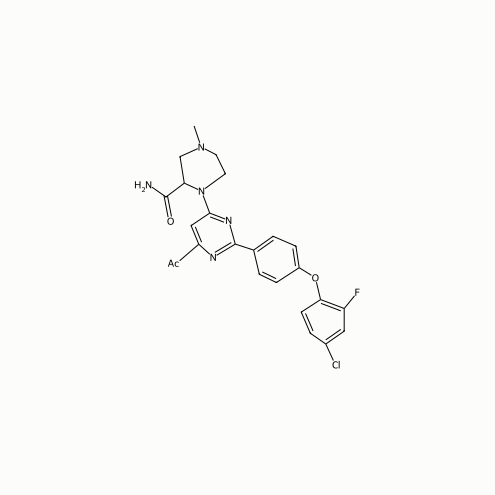 CC(=O)c1cc(N2CCN(C)CC2C(N)=O)nc(-c2ccc(Oc3ccc(Cl)cc3F)cc2)n1